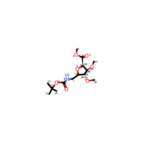 COC(=O)[C@@H]1OC(CNC(=O)OC(C)(C)C)[C@@H](OC)[C@@H]1OC